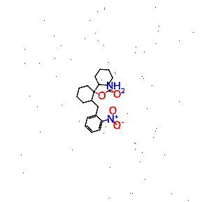 NC(=O)OC1(C2CCCCC2)CCCCC1Cc1ccccc1[N+](=O)[O-]